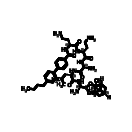 CCCCc1ccc(-c2ccc(C(=O)N[C@@H](CCN)C(=O)N[C@@H](CCN)C(=O)N[C@@H](N)C(=O)N[C@@H](CC(C)C)C(=O)N[C@@H](N)B3OC4C[C@@H]5C[C@@H](C5(C)C)[C@]4(C)O3)cc2)cc1